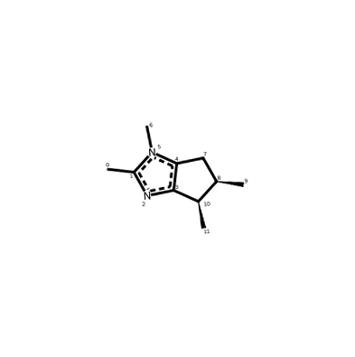 Cc1nc2c(n1C)C[C@@H](C)[C@H]2C